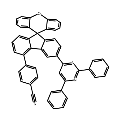 N#Cc1ccc(-c2cccc3c2-c2cc(-c4cc(-c5ccccc5)nc(-c5ccccc5)n4)ccc2C32c3ccccc3Oc3ccccc32)cc1